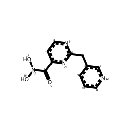 O=C(c1ccnc(Cc2cccnc2)n1)N(O)O